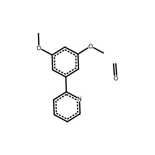 C=O.COc1cc(OC)cc(-c2ccccn2)c1